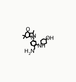 Cc1nn(-c2ccc(CN)c(N[C@H]3CC[C@H](O)CC3)c2)c2c1C(=O)CC(C)(C)C2